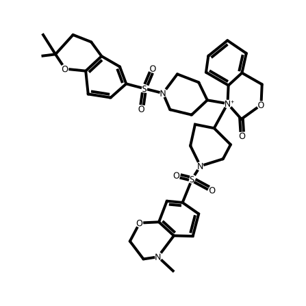 CN1CCOc2cc(S(=O)(=O)N3CCC([N+]4(C5CCN(S(=O)(=O)c6ccc7c(c6)CCC(C)(C)O7)CC5)C(=O)OCc5ccccc54)CC3)ccc21